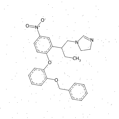 CCC(CN1C=NCC1)c1cc([N+](=O)[O-])ccc1Oc1ccccc1OCc1ccccc1